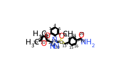 COc1cccc(OC)c1-n1c(SCc2ccc(C(N)=O)cc2)nnc1-c1ccc(C)o1